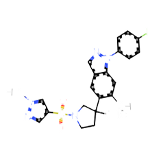 Cc1cc2c(cnn2-c2ccc(F)cc2)cc1C1(C=O)CCN(S(=O)(=O)c2cnn(C)c2)C1